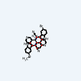 COc1ccc2[nH]cc(/C(C#N)=C(\C(=C(\C#N)c3c[nH]c4ccc(Br)cc34)c3cnccc3Oc3ccccc3)c3cnccc3OC)c2c1